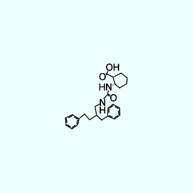 O=C(CNCC(CCc1ccccc1)Cc1ccccc1)N[C@H]1CCCCC1C(=O)O